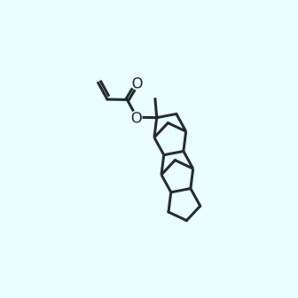 C=CC(=O)OC1(C)CC2CC1C1C3CC(C4CCCC43)C21